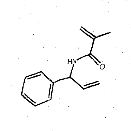 C=C[C](NC(=O)C(=C)C)c1ccccc1